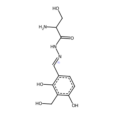 NC(CO)C(=O)N/N=C/c1ccc(O)c(CO)c1O